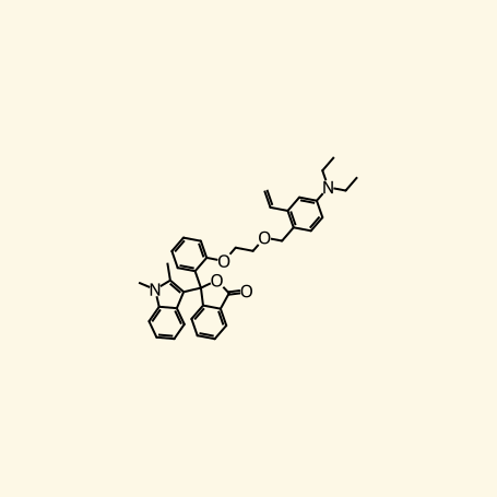 C=Cc1cc(N(CC)CC)ccc1COCCOc1ccccc1C1(c2c(C)n(C)c3ccccc23)OC(=O)c2ccccc21